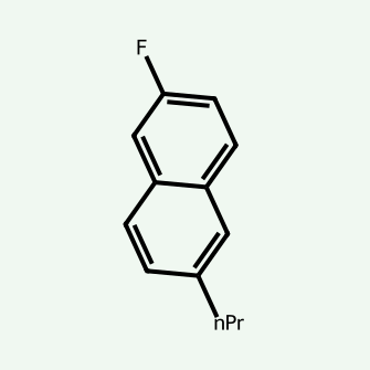 CCCc1ccc2cc(F)ccc2c1